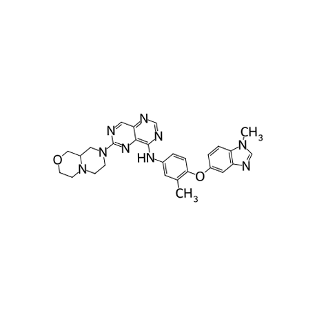 Cc1cc(Nc2ncnc3cnc(N4CCN5CCOCC5C4)nc23)ccc1Oc1ccc2c(c1)ncn2C